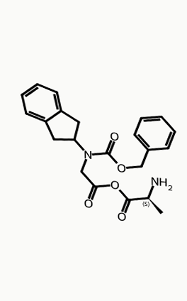 C[C@H](N)C(=O)OC(=O)CN(C(=O)OCc1ccccc1)C1Cc2ccccc2C1